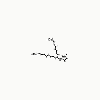 CCCCCCCCCCCCCCCCCCC(CCCCCCCCCCCCCCCCC)C[n+]1ccn(C)c1